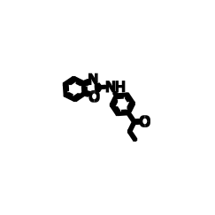 CCC(=O)c1ccc(Nc2nc3ccccc3o2)cc1